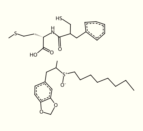 CCCCCCCC[S+]([O-])C(C)Cc1ccc2c(c1)OCO2.CSCC[C@H](NC(=O)C(CS)Cc1ccccc1)C(=O)O